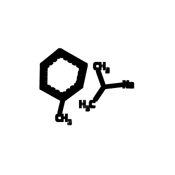 C[CH](C)[Na].Cc1ccccc1